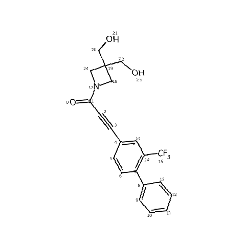 O=C(C#Cc1ccc(-c2ccccc2)c(C(F)(F)F)c1)N1CC(CO)(CO)C1